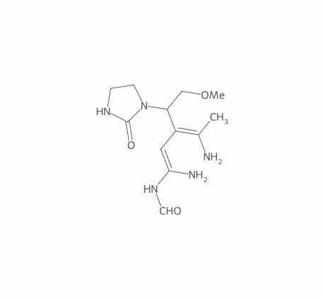 COCC(C(/C=C(\N)NC=O)=C(\C)N)N1CCNC1=O